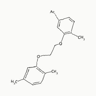 CC(=O)c1ccc(C)c(OCCOc2cc(C)ccc2C)c1